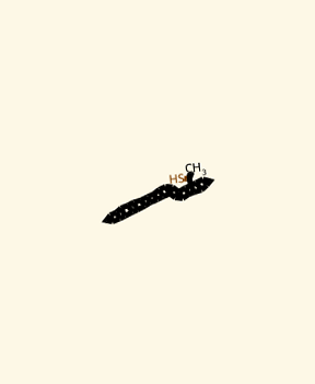 C/C=C(\S)C12C3C4CC4C3C1C1C3C4C56C7C8C9C%10C%11C%12C%13C%14C%15CC%15C%14C%13C%12C%11C%10C9C8C7C5C6C34C12